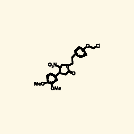 COc1ccc(C2CC(=O)N(CCc3ccc(OCCl)cc3)CC2[N+](=O)[O-])cc1OC